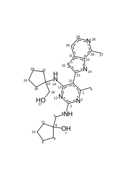 Cc1nc(NCC2(O)CCCC2)nc(NC2(CO)CCCC2)c1-c1nc2c(C)nccc2s1